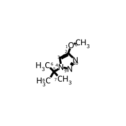 COc1cn(C(C)(C)C)nn1